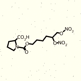 O=C(O)C1CCCN1C(=O)OCCCCC(CO[N+](=O)[O-])O[N+](=O)[O-]